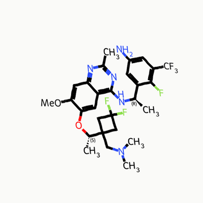 COc1cc2nc(C)nc(N[C@H](C)c3cc(N)cc(C(F)(F)F)c3F)c2cc1O[C@@H](C)C1(CN(C)C)CC(F)(F)C1